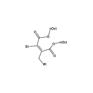 CCCCCCCCOC(=O)C(CC)=C(CC(C)C)C(=O)OCCCCCCCC